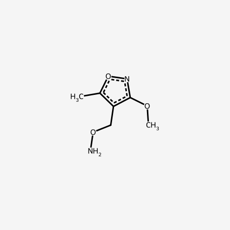 COc1noc(C)c1CON